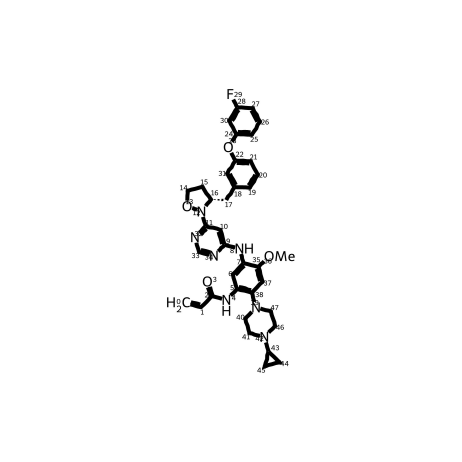 C=CC(=O)Nc1cc(Nc2cc(N3OCC[C@@H]3Cc3cccc(Oc4cccc(F)c4)c3)ncn2)c(OC)cc1N1CCN(C2CC2)CC1